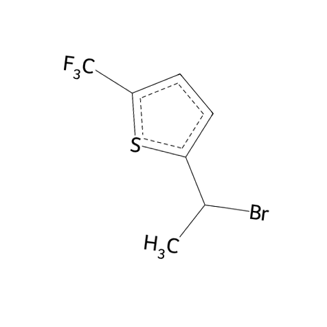 CC(Br)c1ccc(C(F)(F)F)s1